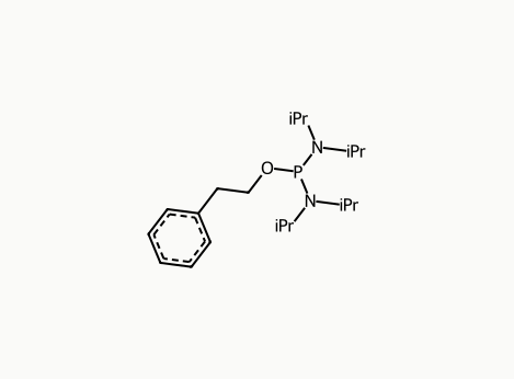 CC(C)N(C(C)C)P(OCCc1ccccc1)N(C(C)C)C(C)C